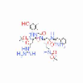 Cc1cc(O)cc(C)c1CC(NC(=O)[C@@H](CCCNC(=N)N)NC(=O)OC(C)(C)C)C(=O)N[C@@H](CCCCNC(=O)OC(C)(C)C)CC(=O)N[C@@H](Cc1ccccc1)C(N)=O